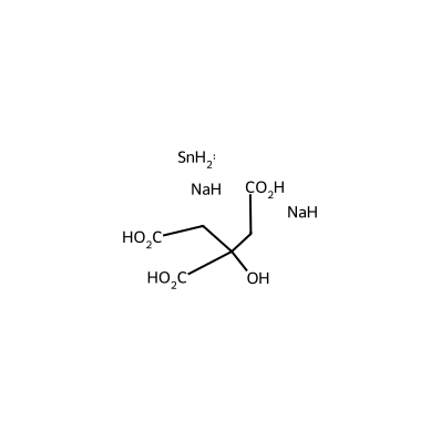 O=C(O)CC(O)(CC(=O)O)C(=O)O.[NaH].[NaH].[SnH2]